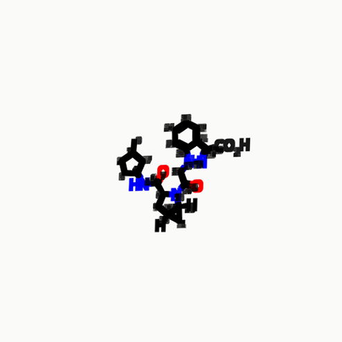 CC1CCC(NC(=O)[C@@H]2C[C@H]3C[C@H]3N2C(=O)Cn2nc(C(=O)O)c3ccccc32)C1